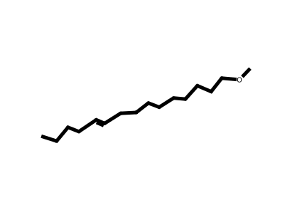 CCCC/C=C/CCCCCCCCCOC